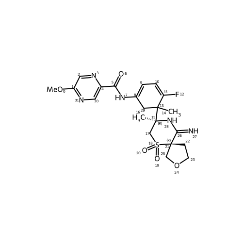 COc1cnc(C(=O)NC2=CC=C(F)C(C)([C@]3(C)CS(=O)(=O)[C@]4(CCOC4)C(=N)N3)C2)cn1